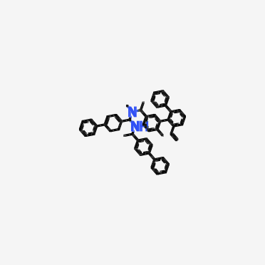 C=Cc1cccc(-c2ccccc2)c1-c1cc(C(C)N(C)C(NC(C)c2ccc(-c3ccccc3)cc2)C2=CC=C(c3ccccc3)CC2)ccc1C